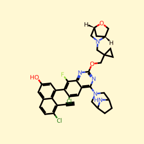 C#Cc1c(Cl)ccc2cc(O)cc(-c3c(Cl)cc4c(N5CC6CCC(C5)N6)nc(OCC5(CN6C[C@H]7C[C@@H]6CO7)CC5)nc4c3F)c12